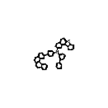 C1=CCC2C(=C1)Sc1ccc3ccc(N(c4ccc(-c5ccc6ccc7ccc8ccccc8c7c6c5)cc4)c4cccc(-c5ccccc5)c4)cc3c12